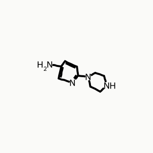 Nc1ccc(N2CCNCC2)nc1